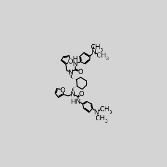 CN(C)c1ccc(NC(=O)N(Cc2ccco2)C[C@H]2CCCC[C@H]2CN(Cc2ccco2)C(=O)Nc2ccc(N(C)C)cc2)cc1